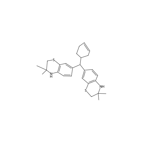 CC1(C)CSc2cc(C(c3ccc4c(c3)SCC(C)(C)N4)C3CC=CCC3)ccc2N1